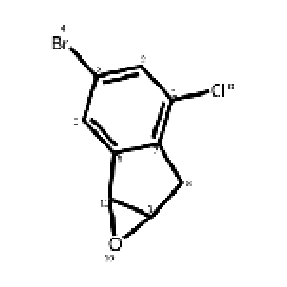 Clc1cc(Br)cc2c1CC1OC21